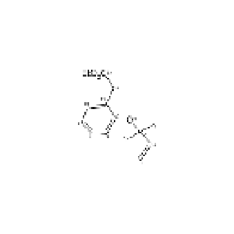 C=CC(C)(C)Oc1ccccc1CC(=O)OCC